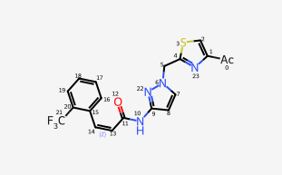 CC(=O)c1csc(Cn2ccc(NC(=O)/C=C\c3ccccc3C(F)(F)F)n2)n1